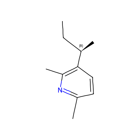 CC[C@@H](C)c1ccc(C)nc1C